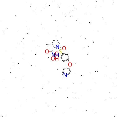 CC1CCCN(S(=O)(=O)c2ccc(Oc3ccncc3)cc2)[C@@H]1C(=O)NO